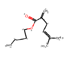 C=C(CC=C(C)C(=O)O)C(=O)OCCCCCCCCCCCC